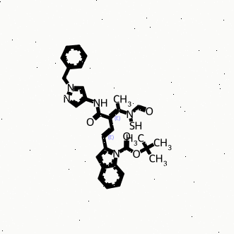 C/C(=C(/C=C/c1cc2ccccc2n1C(=O)OC(C)(C)C)C(=O)Nc1cnn(Cc2ccccc2)c1)N(S)C=O